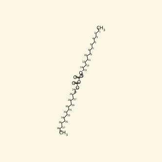 CCCCCCCCCCCCCCCCOOC(=O)OC(=O)OCCCCCCCCCCCCCCCC